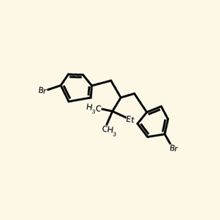 CCC(C)(C)C(Cc1ccc(Br)cc1)Cc1ccc(Br)cc1